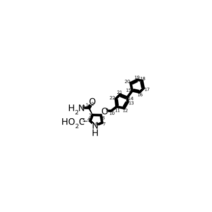 NC(=O)[C@@H]1[C@@H](C(=O)O)NC[C@H]1OCc1ccc(-c2ccccc2)cc1